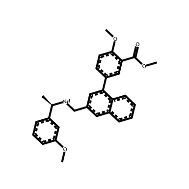 COC(=O)c1cc(-c2cc(CN[C@H](C)c3cccc(OC)c3)cc3ccccc23)ccc1OC